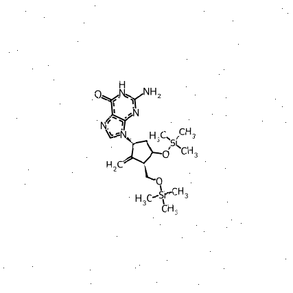 C=C1[C@H](CO[Si](C)(C)C)C(O[Si](C)(C)C)C[C@@H]1n1cnc2c(=O)[nH]c(N)nc21